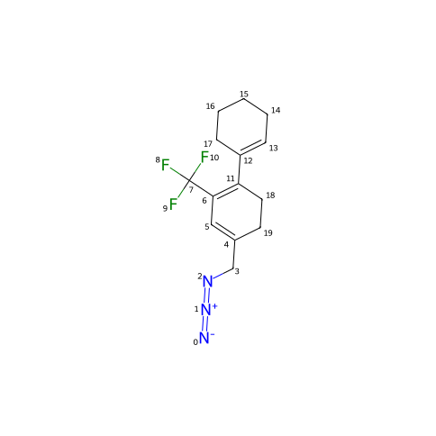 [N-]=[N+]=NCC1=CC(C(F)(F)F)=C(C2=CCCCC2)CC1